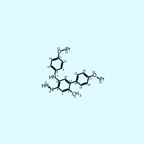 Cc1cc(N=N)c(Nc2ccc(OC(C)C)cc2)cc1-c1ccc(OC(C)C)cc1